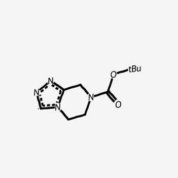 CC(C)(C)OC(=O)N1CCn2[c]nnc2C1